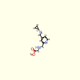 COC(=O)CNCc1cc(C=NC2CC2)ccn1